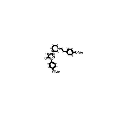 COc1ccc(CCN2CCC[C@H](c3nn(-c4ccc(OC)cc4)c(=O)[nH]3)C2)cc1